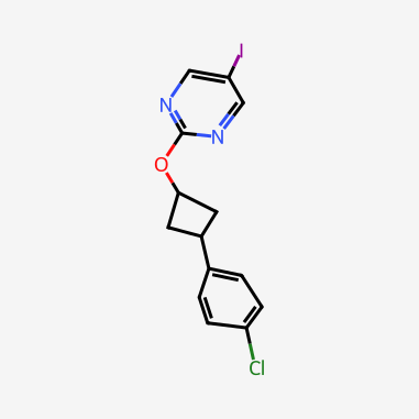 Clc1ccc(C2CC(Oc3ncc(I)cn3)C2)cc1